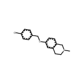 CN1CCc2cc(OCc3ccc(Cl)cc3)ccc2C1